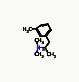 Cc1cccc(C[C@@H](C)N(C)C)c1